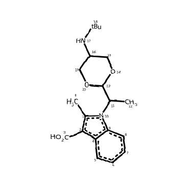 Cc1c(C(=O)O)c2ccccc2n1C(C)C1OCC(NC(C)(C)C)CO1